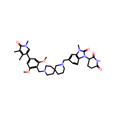 COc1cc(-c2cn(C)c(=O)c(C)c2C)cc(OC)c1CN1CCC2(CCCN(Cc3ccc4c(c3)n(C)c(=O)n4C3CCC(=O)NC3=O)C2)CC1